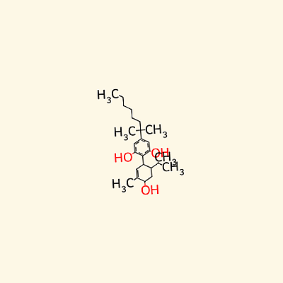 CCCCCCC(C)(C)c1cc(O)c(C2C=C(C)C(O)CC2C(C)C)c(O)c1